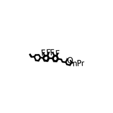 C=CC1CCC(c2ccc(-c3ccc(CCC4CCC(CCC)OC4)c(F)c3F)c(F)c2F)CC1